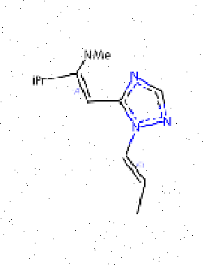 C/C=C/n1ncnc1/C=C(\NC)C(C)C